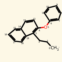 [CH2]CCc1c(Oc2ccccc2)ccc2ccccc12